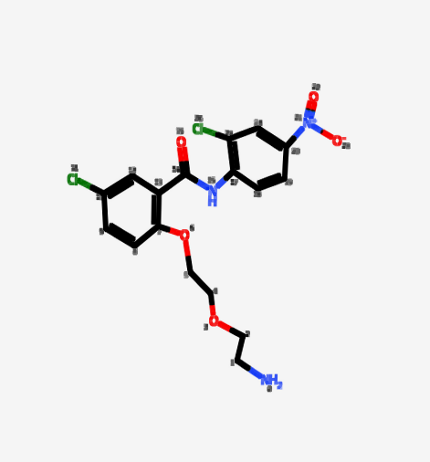 NCCOCCOc1ccc(Cl)cc1C(=O)Nc1ccc([N+](=O)[O-])cc1Cl